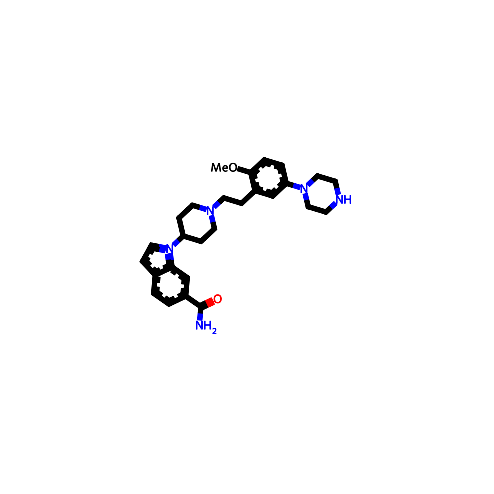 COc1ccc(N2CCNCC2)cc1CCN1CCC(n2ccc3ccc(C(N)=O)cc32)CC1